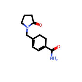 NC(=O)C1=CC=C(CN2CCCC2=O)CC1